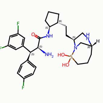 N[C@H](C(=O)N[C@H]1CCC[C@@H]1CC[C@H]1CN[C@@H]2CCCS(O)(O)N1C2)[C@@H](c1ccc(F)cc1)c1cc(F)cc(F)c1